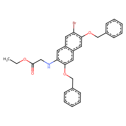 CCOC(=O)CNc1cc2cc(Br)c(OCc3ccccc3)cc2cc1OCc1ccccc1